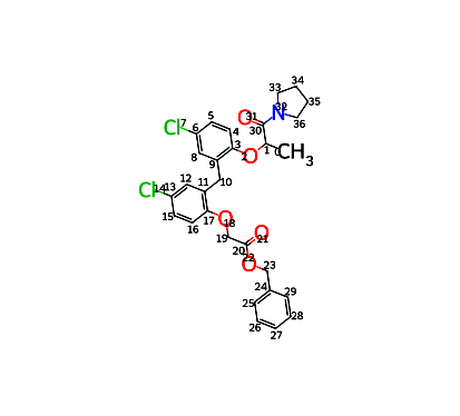 CC(Oc1ccc(Cl)cc1Cc1cc(Cl)ccc1OCC(=O)OCc1ccccc1)C(=O)N1CCCC1